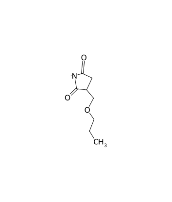 CCCOCC1CC(=O)[N]C1=O